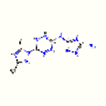 Cc1nc(N=O)nn1-c1nnc(Nc2nc(N)n[nH]2)nn1